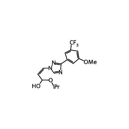 COc1cc(-c2ncn(/C=C\C(O)OC(C)C)n2)cc(C(F)(F)F)c1